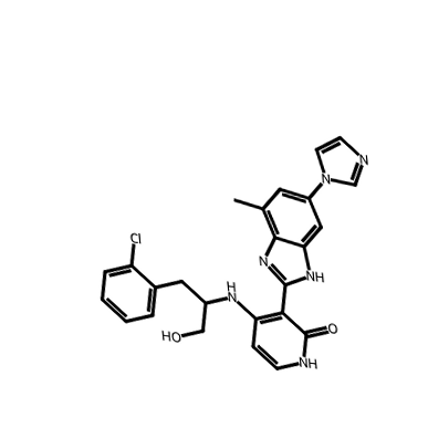 Cc1cc(-n2ccnc2)cc2[nH]c(-c3c(NC(CO)Cc4ccccc4Cl)cc[nH]c3=O)nc12